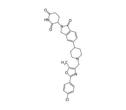 Cc1oc(-c2ccc(Cl)cc2)nc1CN1CCC(c2ccc3c(c2)CN(C2CCC(=O)NC2=O)C3=O)CC1